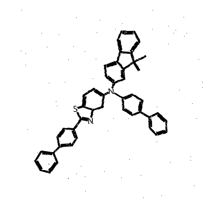 CC1(C)c2ccccc2-c2ccc(N(C3=CC=C4SC(c5ccc(-c6ccccc6)cc5)=NC4C3)c3ccc(-c4ccccc4)cc3)cc21